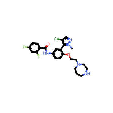 Cn1ncc(Cl)c1-c1cc(NC(=O)c2ccc(F)cc2F)ccc1OCCN1CCCNCC1